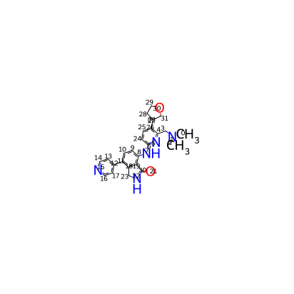 CN(C)Cc1nc(Nc2ccc(-c3ccncc3)c3c2C(=O)NC3)ccc1[C@H]1CCOC1